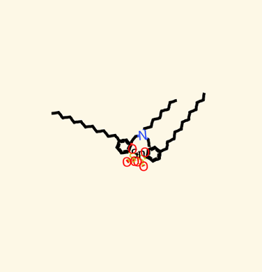 CCCCCCCCCCCCc1ccc([S](=O)(=O)[Sn]2([S](=O)(=O)c3ccc(CCCCCCCCCCCC)cc3)[O]CCN(CCCCCCCC)CC[O]2)cc1